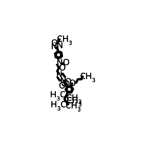 CCCCOc1ccc(C(C)(C)CC(C)(C)C)cc1S(=O)(=O)N1CCN(CC2CN(c3ccc(-c4noc(C)n4)cc3)C(=O)O2)CC1